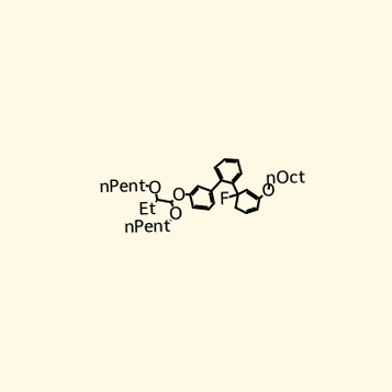 CCCCCCCCOC1=CC(F)(c2ccccc2-c2cccc(OC(OCCCCC)[C@H](CC)OCCCCC)c2)CC=C1